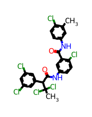 Cc1cc(NC(=O)c2cc(NC(=O)C(c3cc(Cl)cc(Cl)c3)C(C)(Cl)Cl)ccc2Cl)ccc1Cl